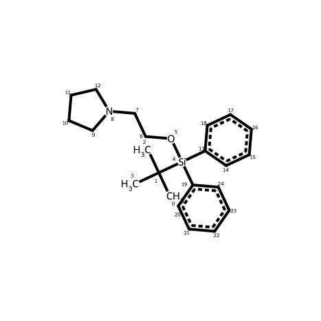 CC(C)(C)[Si](OCCN1CCCC1)(c1ccccc1)c1ccccc1